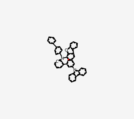 c1ccc(-c2ccc(N(c3ccccc3-c3cccc(-n4c5ccccc5c5ccccc54)c3)c3cccc4c3oc3ccccc34)cc2)cc1